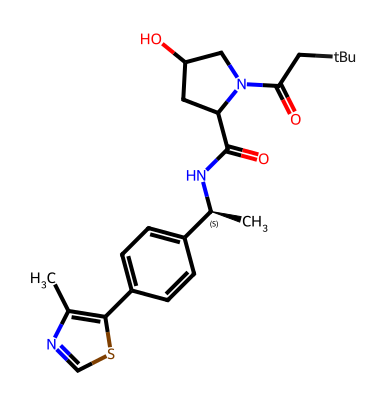 Cc1ncsc1-c1ccc([C@H](C)NC(=O)C2CC(O)CN2C(=O)CC(C)(C)C)cc1